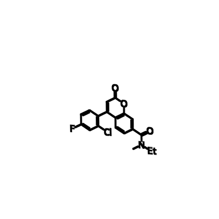 CCN(C)C(=O)c1ccc2c(-c3ccc(F)cc3Cl)cc(=O)oc2c1